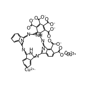 O=C([O-])c1ccc2c(c1C(=O)[O-])-c1nc-2nc2[nH]c(nc3nc(nc4[nH]c(n1)c1c(C(=O)[O-])c(C(=O)[O-])c(C(=O)[O-])c(C(=O)[O-])c41)-c1ccccc1-3)c1ccccc21.[Cu+2].[Cu+2].[Cu+2]